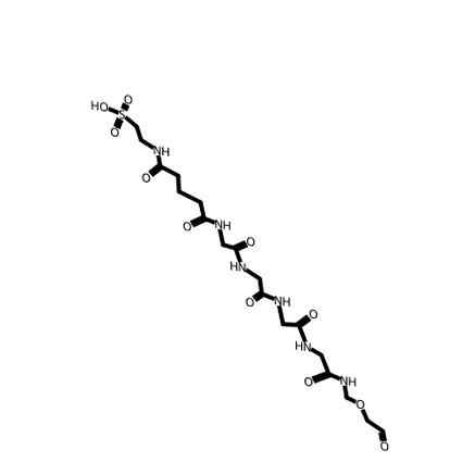 O=CCOCNC(=O)CNC(=O)CNC(=O)CNC(=O)CNC(=O)CCCC(=O)NCCS(=O)(=O)O